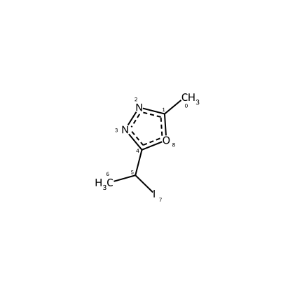 Cc1nnc(C(C)I)o1